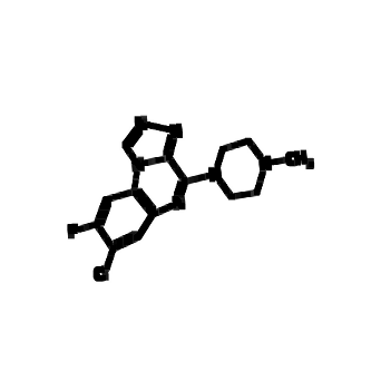 CN1CCN(c2nc3cc(Cl)c(F)cc3n3cnnc23)CC1